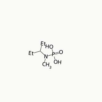 CCC(CC)N(C)P(=O)(O)O